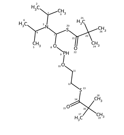 CC(C)N(C(C)C)C(OPOCCSC(=O)C(C)(C)C)SC(=O)C(C)(C)C